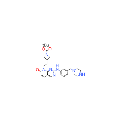 CC(C)(C)OC(=O)N1CC(CCn2c(=O)ccc3cnc(Nc4cccc(CN5CCNCC5)c4)nc32)C1